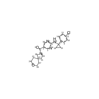 O=C(c1cnc(NC2(c3ccc(Cl)cc3)CC2)nc1)N1CCC2(CCOCC2)C1